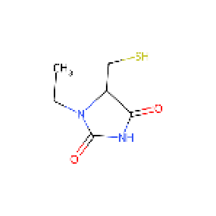 CCN1C(=O)NC(=O)C1CS